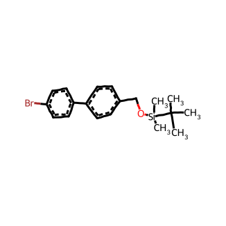 CC(C)(C)[Si](C)(C)OCc1ccc(-c2ccc(Br)cc2)cc1